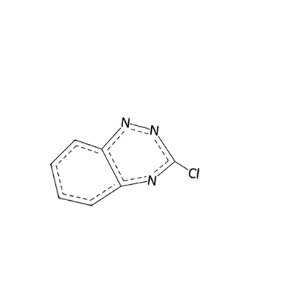 Clc1nnc2ccccc2n1